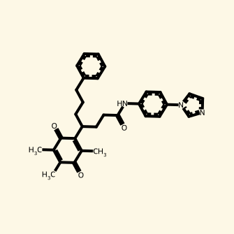 CC1=C(C)C(=O)C(C(CCCc2ccccc2)CCC(=O)Nc2ccc(-n3ccnc3)cc2)=C(C)C1=O